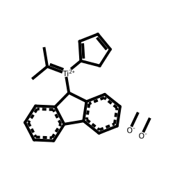 C[C](C)=[Ti+2]([C]1=CC=CC1)[CH]1c2ccccc2-c2ccccc21.C[O-].C[O-]